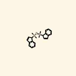 C[Si](C)(O[Si](C)(C)C1C=Cc2ccccc21)C1C=Cc2ccccc21